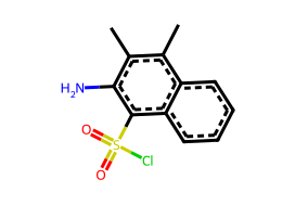 Cc1c(N)c(S(=O)(=O)Cl)c2ccccc2c1C